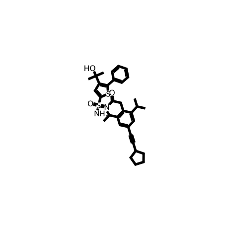 CC(C)c1cc(C#CC2CCCC2)cc(C(C)C)c1CC(=O)N=S(N)(=O)c1cc(C(C)(C)O)c(-c2ccccc2)s1